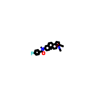 CC1C2CCC3C4CC=C5CC(N(C)C(=O)c6ccc(F)cc6)CCC5(C)C4CCC32CN1C